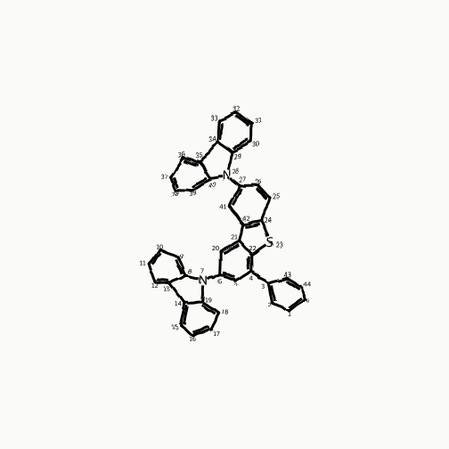 c1ccc(-c2cc(-n3c4ccccc4c4ccccc43)cc3c2sc2ccc(-n4c5ccccc5c5ccccc54)cc23)cc1